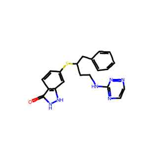 O=c1[nH][nH]c2cc(SC(CCNc3nccnn3)Cc3ccccc3)ccc12